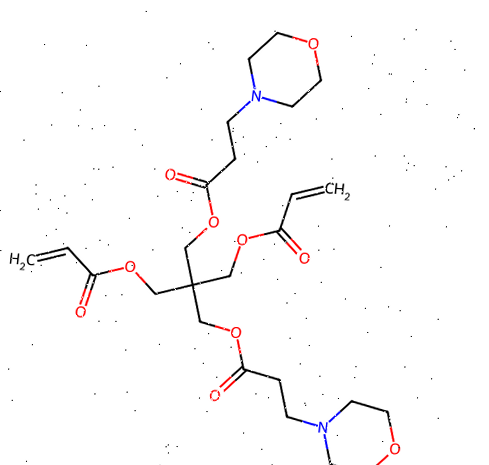 C=CC(=O)OCC(COC(=O)C=C)(COC(=O)CCN1CCOCC1)COC(=O)CCN1CCOCC1